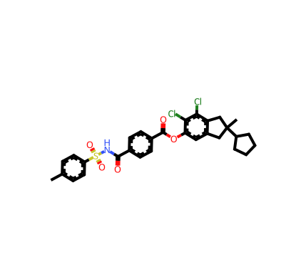 Cc1ccc(S(=O)(=O)NC(=O)c2ccc(C(=O)Oc3cc4c(c(Cl)c3Cl)CC(C)(C3CCCC3)C4)cc2)cc1